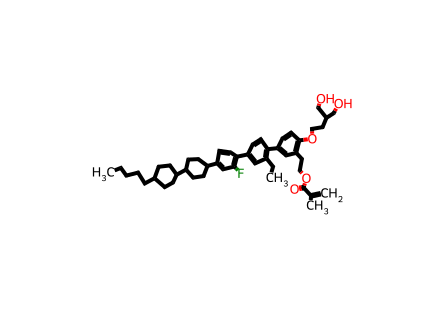 C=C(C)C(=O)OCCc1cc(-c2ccc(-c3ccc(C4CCC(C5CCC(CCCCC)CC5)CC4)cc3F)cc2CC)ccc1OCCC(CO)CO